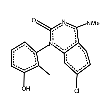 CNc1nc(=O)n(-c2cccc(O)c2C)c2cc(Cl)ccc12